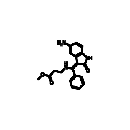 COC(=O)CCNC(=C1C(=O)Nc2ccc(N)cc21)c1ccccc1